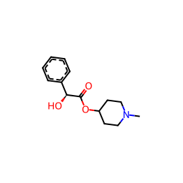 CN1CCC(OC(=O)[C@@H](O)c2ccccc2)CC1